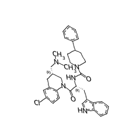 CN(C)C[C@H]1Cc2cc(Cl)ccc2N(C(=O)[C@@H](Cc2c[nH]c3ccccc23)NC(=O)N2CCC(c3ccccc3)CC2)C1